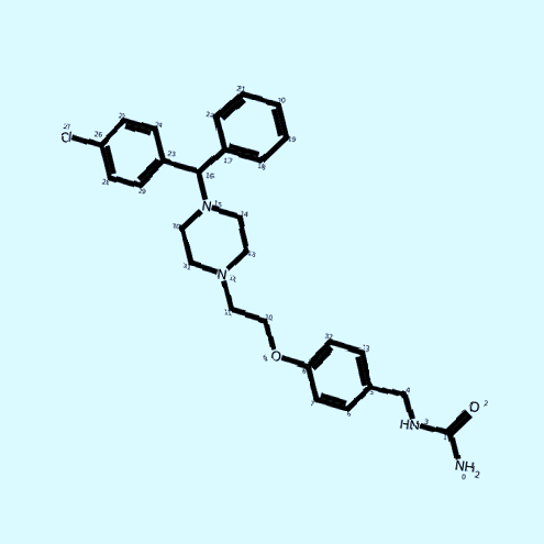 NC(=O)NCc1ccc(OCCN2CCN(C(c3ccccc3)c3ccc(Cl)cc3)CC2)cc1